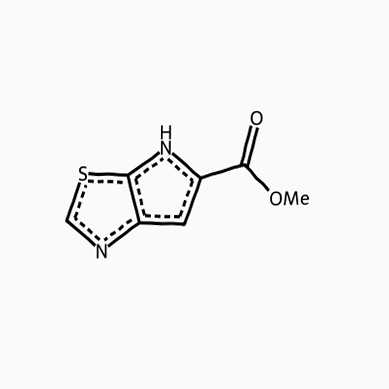 COC(=O)c1cc2ncsc2[nH]1